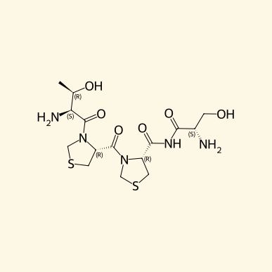 C[C@@H](O)[C@H](N)C(=O)N1CSC[C@H]1C(=O)N1CSC[C@H]1C(=O)NC(=O)[C@@H](N)CO